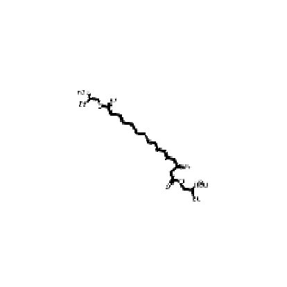 CCCCC(CC)COC(=O)CCCCCCCCCCCCC(CC(=O)OCC(CC)CCCC)C(C)C